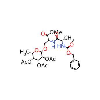 COC(=O)[C@H](CO[C@H]1O[C@@H](C)[C@@H](OC(C)=O)[C@@H](OC(C)=O)[C@@H]1OC(C)=O)NC(=O)[C@H](C)NC(=O)OCc1ccccc1